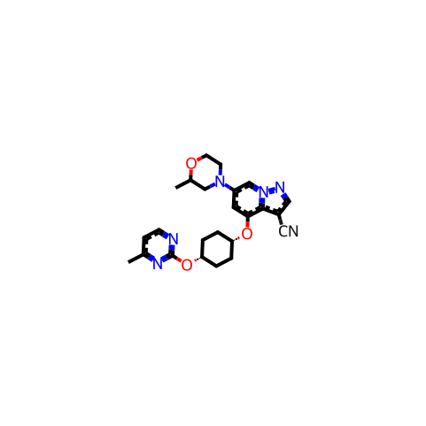 Cc1ccnc(O[C@H]2CC[C@@H](Oc3cc(N4CCOC(C)C4)cn4ncc(C#N)c34)CC2)n1